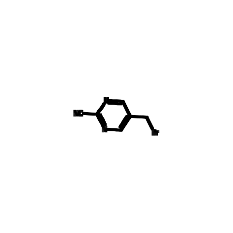 N#Cc1ncc(CBr)cn1